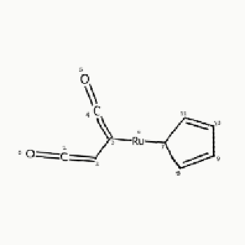 O=C=C[C](=C=O)[Ru][CH]1C=CC=C1